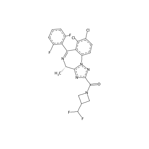 C[C@@H]1N=C(c2c(F)cccc2F)c2c(ccc(Cl)c2Cl)-n2nc(C(=O)N3CC(C(F)F)C3)nc21